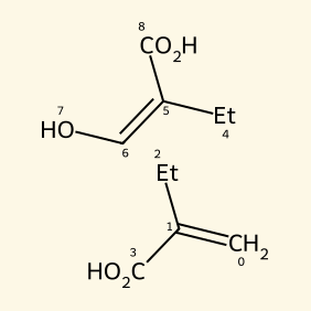 C=C(CC)C(=O)O.CCC(=CO)C(=O)O